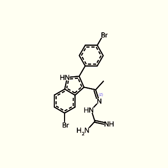 C/C(=N/NC(=N)N)c1c(-c2ccc(Br)cc2)[nH]c2ccc(Br)cc12